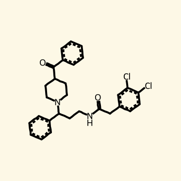 O=C(Cc1ccc(Cl)c(Cl)c1)NCCC(c1ccccc1)N1CCC(C(=O)c2ccccc2)CC1